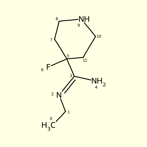 CC/N=C(\N)C1(F)CCNCC1